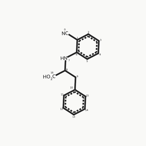 N#Cc1ccccc1NC(Cc1ccccc1)C(=O)O